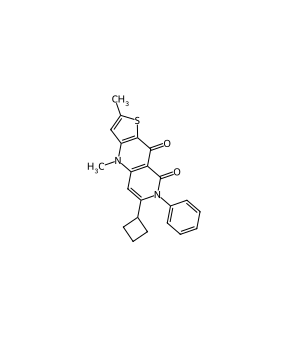 Cc1cc2c(s1)c(=O)c1c(=O)n(-c3ccccc3)c(C3CCC3)cc1n2C